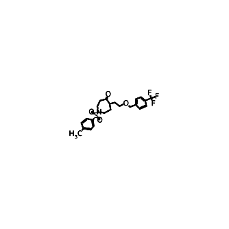 Cc1ccc(S(=O)(=O)N2CCC(=O)C(CCOCc3ccc(C(F)(F)F)cc3)CC2)cc1